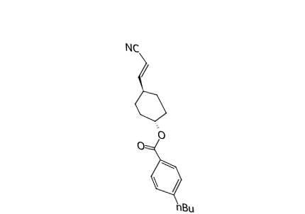 CCCCc1ccc(C(=O)O[C@H]2CC[C@H](C=CC#N)CC2)cc1